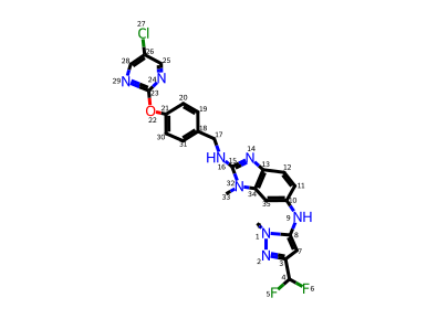 Cn1nc(C(F)F)cc1Nc1ccc2nc(NCc3ccc(Oc4ncc(Cl)cn4)cc3)n(C)c2c1